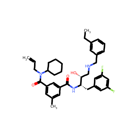 C=CCN(C(=O)c1cc(C)cc(C(=O)N[C@@H](Cc2cc(F)cc(F)c2)[C@H](O)CNCc2cccc(CC)c2)c1)C1CCCCC1